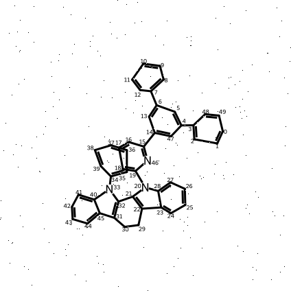 c1ccc(-c2cc(-c3ccccc3)cc(-c3cccc(-n4c5c(c6ccccc64)CCc4c-5n(-c5ccccc5)c5ccccc45)n3)c2)cc1